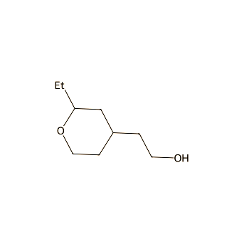 CCC1CC(CCO)CCO1